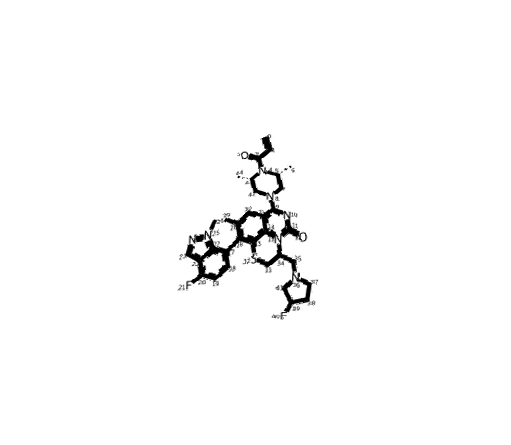 C=CC(=O)N1[C@H](C)CN(c2nc(=O)n3c4c(c(-c5ccc(F)c6cnn(C)c56)c(C)cc24)SCC3CN2CCC(F)C2)C[C@@H]1C